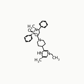 CCN1C=C(C)NC(C2CCN(CCC(c3ccccc3)N(C)S(=O)(=O)c3ccccc3)CC2)=C1